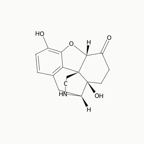 O=C1CC[C@]2(O)[C@@H]3Cc4ccc(O)c5c4[C@]2(CCN3)[C@@H]1O5